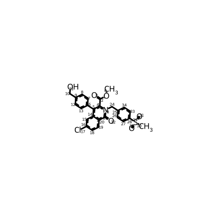 COC(=O)c1c(-c2ccc(CO)cc2)c2cc(Cl)ccc2c(=O)n1Cc1ccc(S(C)(=O)=O)cc1